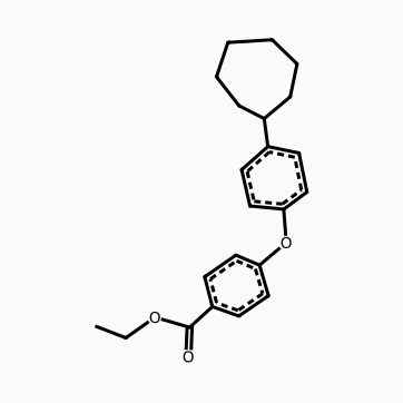 CCOC(=O)c1ccc(Oc2ccc(C3CCCCCC3)cc2)cc1